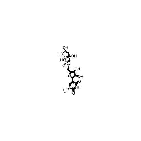 Cn1cc(C2OC(COP(=O)(O)CP(=O)(O)CP(O)O)C(O)C2O)c(=O)[nH]c1=O